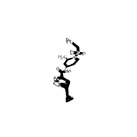 CC(C)CS(=O)(=O)N1CC[C@H](NC(=O)c2cc(C3CC3)on2)C[C@@H]1C